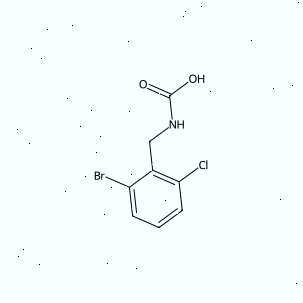 O=C(O)NCc1c(Cl)cccc1Br